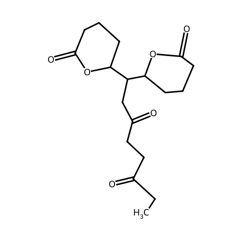 CCC(=O)CCC(=O)CC(C1CCCC(=O)O1)C1CCCC(=O)O1